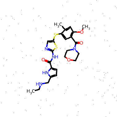 CCNCc1ccc(C(=O)Nc2ncc(Sc3cc(C(=O)N4CCOCC4)c(OC)cc3C)s2)[nH]1